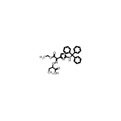 CCOC(=O)C(=NOC(CC)C(=O)O)c1csc(NC(c2ccccc2)(c2ccccc2)c2ccccc2)n1